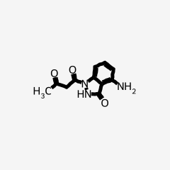 CC(=O)CC(=O)n1[nH]c(=O)c2c(N)cccc21